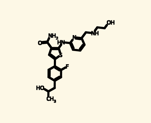 CC(O)Cc1ccc(-c2cc(C(N)=O)c(Nc3cccc(CNCCO)n3)s2)c(F)c1